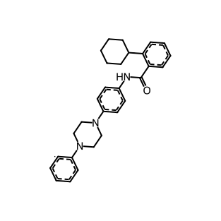 O=C(Nc1ccc(N2CCN(c3[c]cccc3)CC2)cc1)c1ccccc1C1CCCCC1